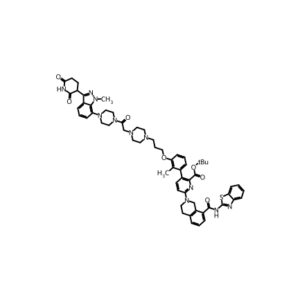 Cc1c(OCCCN2CCN(CC(=O)N3CCN(c4cccc5c(C6CCC(=O)NC6=O)nn(C)c45)CC3)CC2)cccc1-c1ccc(N2CCc3cccc(C(=O)Nc4nc5ccccc5s4)c3C2)nc1C(=O)OC(C)(C)C